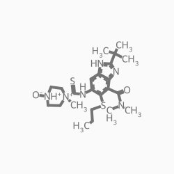 CCCSc1c(NC(=S)[N+]2(C)CC[NH+]([O-])CC2)cc2[nH]c(C(C)(C)C)nc2c1C(=O)N(C)C